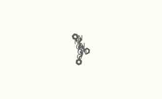 O=C(COc1ccccc1)N1CCCCC1c1noc(-c2cnc3ccccc3n2)n1